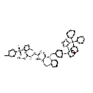 Cc1ccc(S(=O)(=O)n2cnc(C[C@@H](NC(=O)OC(C)(C)C)C(=O)N[C@@H]3CCc4ccccc4N(Cc4ccc(-c5ccccc5-c5nnnn5C(c5ccccc5)(c5ccccc5)c5ccccc5)cc4)C3=O)c2)cc1